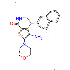 Nc1c(N2CCOCC2)sc2c1C(c1ccc3ccccc3c1)CNC2=O